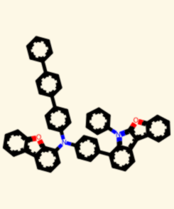 c1ccc(-c2ccc(-c3ccc(N(c4ccc(-c5cccc6c7c8ccccc8oc7n(-c7ccccc7)c56)cc4)c4cccc5c4oc4ccccc45)cc3)cc2)cc1